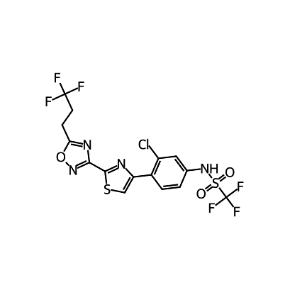 O=S(=O)(Nc1ccc(-c2csc(-c3noc(CCC(F)(F)F)n3)n2)c(Cl)c1)C(F)(F)F